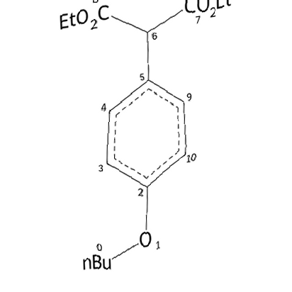 CCCCOc1ccc(C(C(=O)OCC)C(=O)OCC)cc1